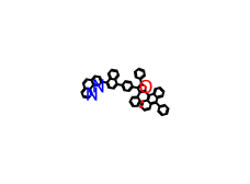 c1ccc(-c2oc(-c3c4ccccc4c(-c4ccccc4)c4ccccc34)c(-c3ccccc3)c2-c2ccc(-c3ccc(-c4ccc5ccc6cccnc6c5n4)c4ccccc34)cc2)cc1